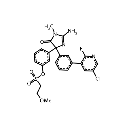 COCCS(=O)(=O)Oc1cccc(C2(c3cccc(-c4cc(Cl)cnc4F)c3)N=C(N)N(C)C2=O)c1